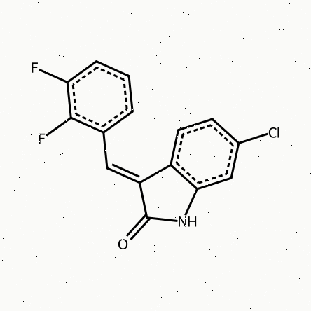 O=C1Nc2cc(Cl)ccc2/C1=C\c1cccc(F)c1F